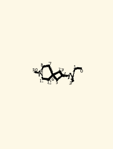 CCN(C)C1CC2(CCN(C)CC2)C1